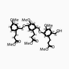 COC(=O)CCc1cc(OCc2cc(OC)c(OCc3cc(OC)ccc3CCC(=O)OC)cc2CCC(=O)OC)c(OC)cc1CO